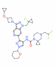 O=C(Nc1cn(C2CCCCO2)nc1-c1cc2c(cn1)c(N1CC(OC3CC3)C1)nn2CC1(F)CC1)N1CCN(CC(F)F)CC12CC2